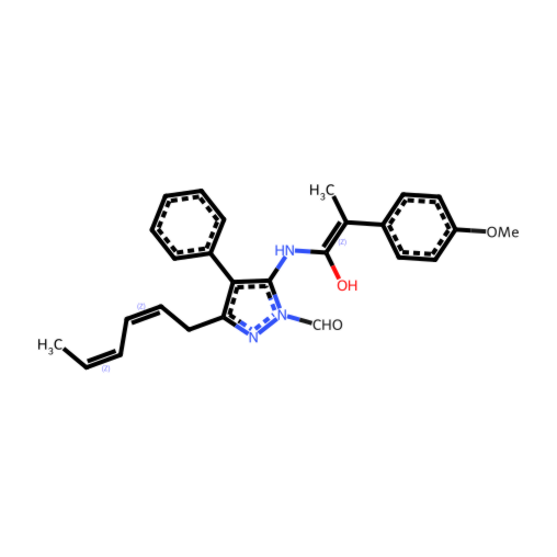 C/C=C\C=C/Cc1nn(C=O)c(N/C(O)=C(\C)c2ccc(OC)cc2)c1-c1ccccc1